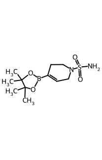 CC1(C)OB(C2=CCN(S(N)(=O)=O)CC2)OC1(C)C